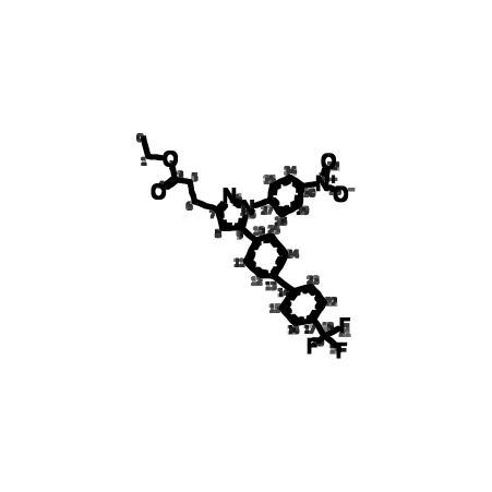 CCOC(=O)CCc1cc(-c2ccc(-c3ccc(C(F)(F)F)cc3)cc2)n(-c2ccc([N+](=O)[O-])cc2)n1